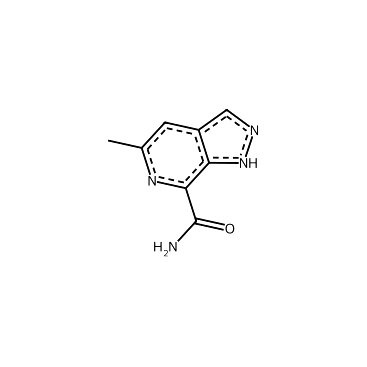 Cc1cc2cn[nH]c2c(C(N)=O)n1